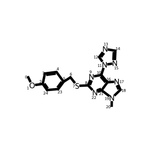 COc1ccc(CSc2nc(-n3cncn3)c3ncn(C)c3n2)cc1